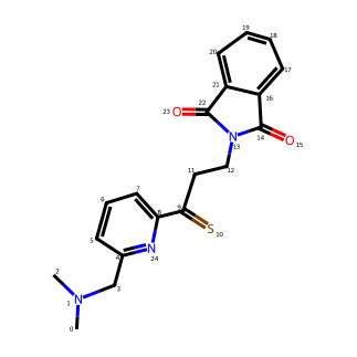 CN(C)Cc1cccc(C(=S)CCN2C(=O)c3ccccc3C2=O)n1